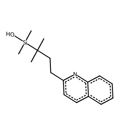 CC(C)(CCc1ccc2ccccc2n1)[Si](C)(C)O